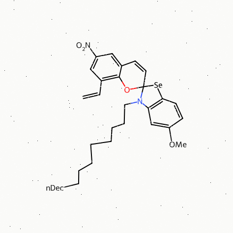 C=Cc1cc([N+](=O)[O-])cc2c1OC1(C=C2)[Se]c2ccc(OC)cc2N1CCCCCCCCCCCCCCCCCC